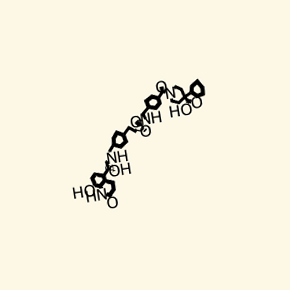 O=C(c1ccc(CNS(=O)(=O)CCc2ccc(CNC[C@H](O)c3ccc(O)c4[nH]c(=O)ccc34)cc2)cc1)N1CCC(C(=O)O)(c2ccccc2)CC1